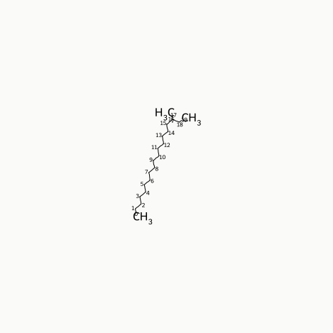 CCCCCCCCCCCCCCCC[C](C)CC